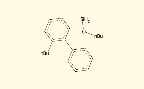 CC(C)(C)c1ccccc1-c1ccccc1.CCCCO[SiH3]